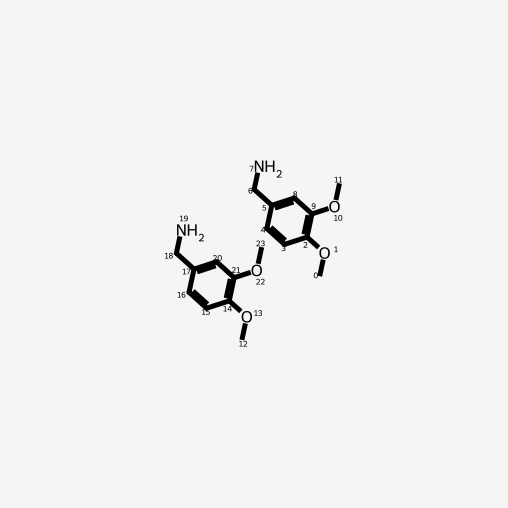 COc1ccc(CN)cc1OC.COc1ccc(CN)cc1OC